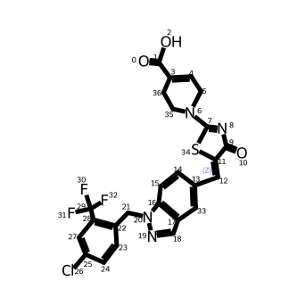 O=C(O)C1=CCN(C2=NC(=O)/C(=C/c3ccc4c(cnn4Cc4ccc(Cl)cc4C(F)(F)F)c3)S2)CC1